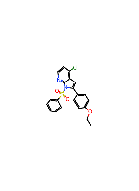 CCOc1ccc(-c2cc3c(Cl)ccnc3n2S(=O)(=O)c2ccccc2)cc1